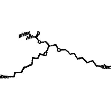 CCCCCCCCCCCCCCCCCCOC[C@H](COC(=O)NCCCCCC)OCCCCCCCCCCCCCCCCCC